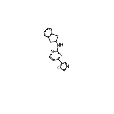 c1ccc2c(c1)CC(Nc1nccc(-c3cnco3)n1)C2